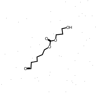 O=CCCCCCOC(=O)OCCCO